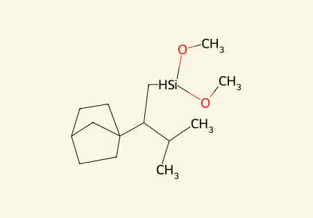 CO[SiH](CC(C(C)C)C12CCC(CC1)C2)OC